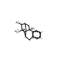 CC[C@]12CC3C(C(C)=O)CC1C(Cc1ccccc12)N3C